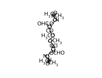 Cc1c(COc2cc(OCc3cncc(N=S(C)(C)=O)c3)c(C=O)cc2Cl)cccc1-c1cccc(COc2cc(OCc3cncc(N=S(C)(C)=O)c3)c(C=O)cc2Cl)c1C